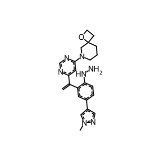 C=C(c1cc(N2CCCC3(CCO3)C2)ncn1)c1cc(-c2cnn(C)c2)ccc1NN